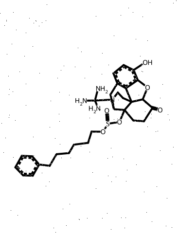 NC(N)(N)N1CCC23c4c5ccc(O)c4OC2C(=O)CCC3(OS(=O)OCCCCCCc2ccccc2)C1C5